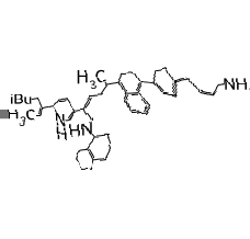 C/C=C(\CC(C)CC)C1C=CC(/C(=C/CC(C)C2=c3ccccc3=C(C3=CC=C(C/C=C\CN)CC3)CC2)CNC2CCCC3=C2CCCC3)=CN1